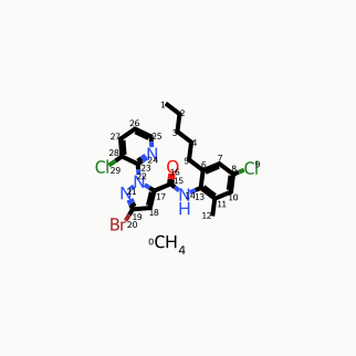 C.CCCCCc1cc(Cl)cc(C)c1NC(=O)c1cc(Br)nn1-c1ncccc1Cl